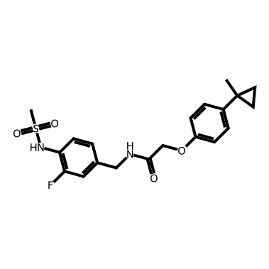 CC1(c2ccc(OCC(=O)NCc3ccc(NS(C)(=O)=O)c(F)c3)cc2)CC1